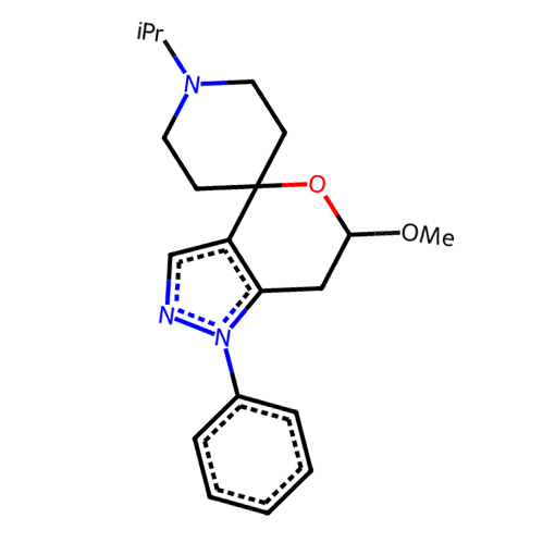 COC1Cc2c(cnn2-c2ccccc2)C2(CCN(C(C)C)CC2)O1